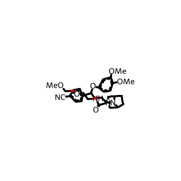 COCCOCCNC(=O)N1CC2CCC(C1)N2CCCC(Oc1ccc(OC)c(OC)c1)c1ccc(C#N)cc1